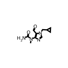 CN(C(N)=O)c1ncn(CC2CC2)c1C=O